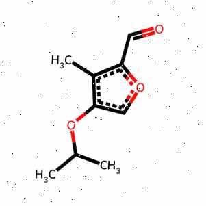 Cc1c(OC(C)C)coc1C=O